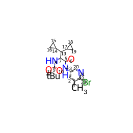 Cc1cc(NC(=O)[C@@H](NC(=O)OC(C)(C)C)C(C2CC2)C2CC2)cnc1Br